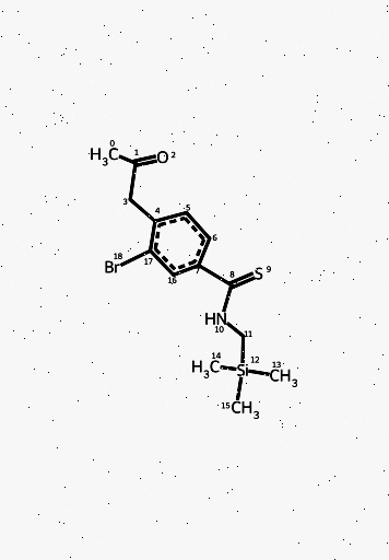 CC(=O)Cc1ccc(C(=S)NC[Si](C)(C)C)cc1Br